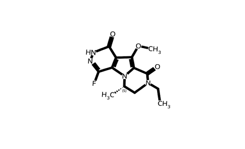 CCN1C[C@H](C)n2c(c(OC)c3c(=O)[nH]nc(F)c32)C1=O